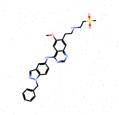 COc1cc2c(Nc3ccc4c(cnn4Cc4ccccc4)c3)ncnc2cc1CCNCCS(C)(=O)=O